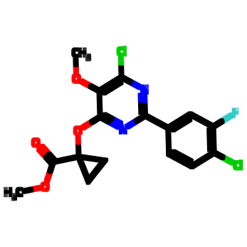 COC(=O)C1(Oc2nc(-c3ccc(Cl)c(F)c3)nc(Cl)c2OC)CC1